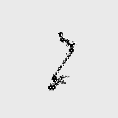 CN[C@@H](C)C(=O)N[C@H](C(=O)N1Cc2cc(OCCOCCOCCOCCOCCOCCNCc3ccc(-n4cc(NC(=O)c5coc(-c6ccnc(NCC7CC7)c6)n5)c(C(F)F)n4)cc3)ccc2C[C@H]1C(=O)N[C@@H]1CCCc2ccccc21)C(C)(C)C